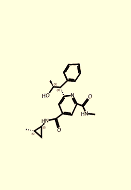 CNC(=O)c1cc(C(=O)N[C@H]2C[C@@H]2C)cc([C@@H](c2ccccc2)[C@H](C)O)n1